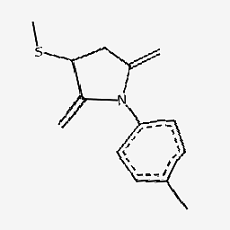 C=C1CC(SC)C(=C)N1c1ccc(C)cc1